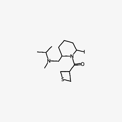 CC(C)N(C)CC1CCCC(I)N1C(=O)C1CSC1